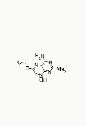 Cl.Nc1nc(N)c2nc(OC=O)cnc2n1